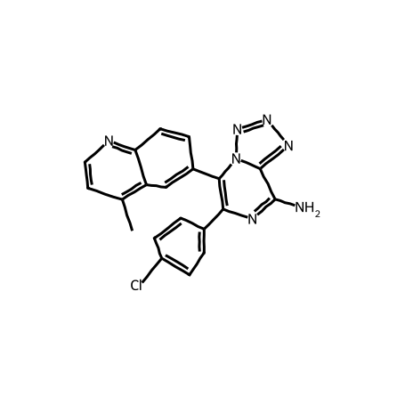 Cc1ccnc2ccc(-c3c(-c4ccc(Cl)cc4)nc(N)c4nnnn34)cc12